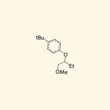 CCC(COC)Oc1ccc(C(C)(C)C)cc1